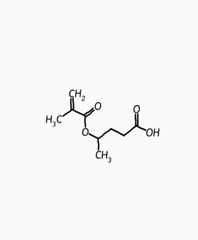 C=C(C)C(=O)OC(C)CCC(=O)O